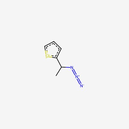 CC(N=[N+]=[N-])c1cccs1